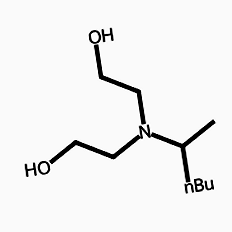 CCCCC(C)N(CCO)CCO